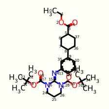 CCOC(=O)C1CCC(c2cccc(N=C3N(C(=O)OC(C)(C)C)CCCN3C(=O)OC(C)(C)C)c2)CC1